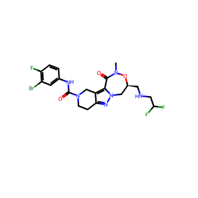 CN1O[C@@H](CNCC(F)F)Cn2nc3c(c2C1=O)CN(C(=O)Nc1ccc(F)c(Br)c1)CC3